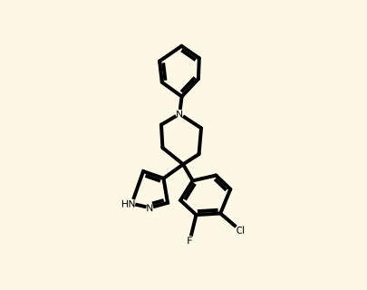 Fc1cc(C2(c3cn[nH]c3)CCN(c3ccccc3)CC2)ccc1Cl